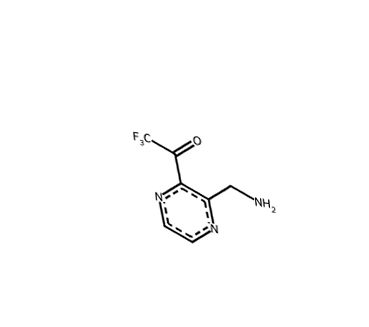 NCc1nccnc1C(=O)C(F)(F)F